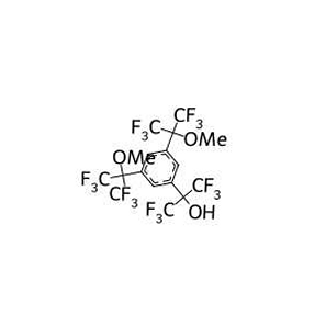 COC(c1cc(C(O)(C(F)(F)F)C(F)(F)F)cc(C(OC)(C(F)(F)F)C(F)(F)F)c1)(C(F)(F)F)C(F)(F)F